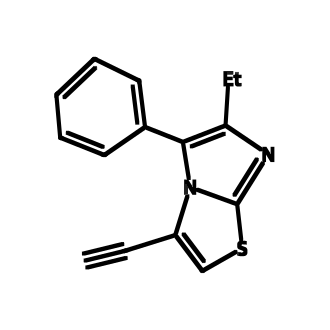 C#Cc1csc2nc(CC)c(-c3ccccc3)n12